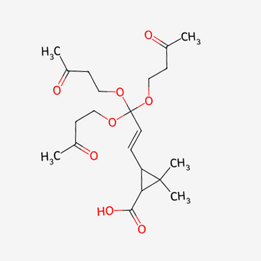 CC(=O)CCOC(C=CC1C(C(=O)O)C1(C)C)(OCCC(C)=O)OCCC(C)=O